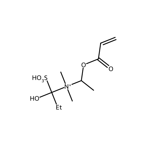 C=CC(=O)OC(C)[N+](C)(C)C(O)(CC)S(=O)(=O)O